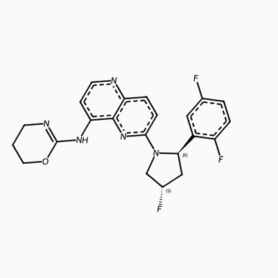 Fc1ccc(F)c([C@H]2C[C@H](F)CN2c2ccc3nccc(NC4=NCCCO4)c3n2)c1